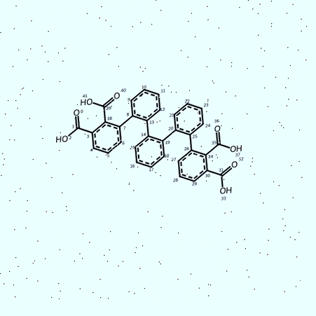 O=C(O)c1cccc(-c2ccccc2-c2ccccc2-c2ccccc2-c2cccc(C(=O)O)c2C(=O)O)c1C(=O)O